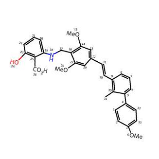 COc1ccc(-c2cccc(/C=C/c3cc(OC)c(CNc4cccc(O)c4C(=O)O)c(OC)c3)c2C)cc1